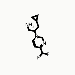 NCC(CC1CC1)N1C=CC(C(F)F)=NC1